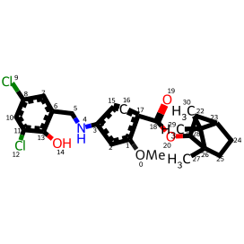 COc1cc(NCc2cc(Cl)cc(Cl)c2O)ccc1C(=O)OC1CC2CCC1(C)C2(C)C